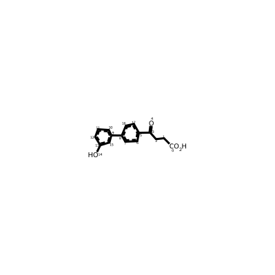 O=C(O)CCC(=O)c1ccc(-c2cccc(O)c2)cc1